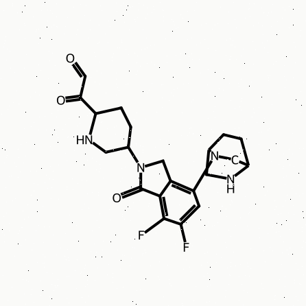 O=CC(=O)C1CCC(N2Cc3c(N4CC5CCC4CN5)cc(F)c(F)c3C2=O)CN1